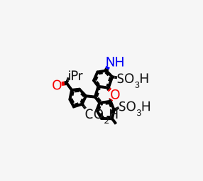 Cc1ccc2c(-c3cc(C(=O)C(C)C)ccc3C(=O)O)c3ccc(=N)c(S(=O)(=O)O)c-3oc2c1S(=O)(=O)O